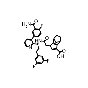 NC(=O)c1cc(-c2cccnc2[C@H](CCc2cc(F)cc(F)c2)NC(=O)CC2C=C(C(=O)O)C3=C2C2CCC3C2)ccc1F